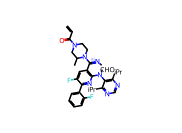 C=CC(=O)N1CCN(/C(=N/C)c2cc(F)c(-c3ccccc3F)nc2N(C=O)c2c(C(C)C)ncnc2C(C)C)C(C)C1